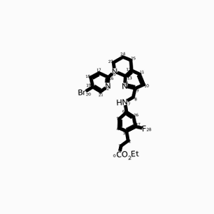 CCOC(=O)CCc1ccc(NCc2ccc3c(n2)N(c2ccc(Br)cn2)CCC3)cc1F